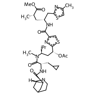 COC(=O)[C@@H](C)C[C@H](Cc1nc(C)cs1)NC(=O)c1csc([C@@H](C[C@H](C(C)C)N(C)C(=O)[C@H](CC2CC2)NC(=O)[C@H]2CC3CCN2CC3)OC(C)=O)n1